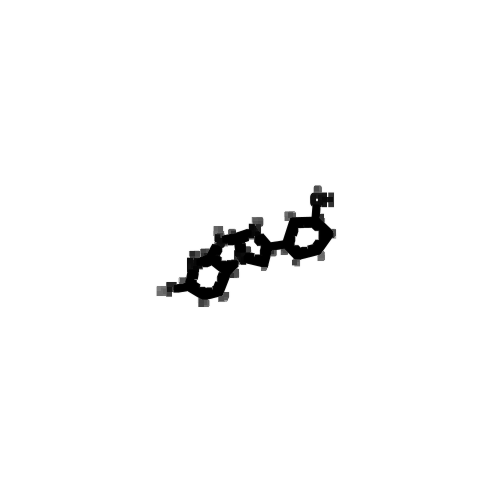 Oc1cccc(-c2cn3c(n2)sc2nc(F)ccc23)c1